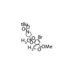 COC(=O)c1cc(Br)c2c(c1C)O[C@](C)(C1CCN(C(=O)OC(C)(C)C)CC1)O2